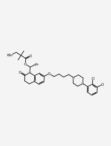 CC(C)C(OC(=O)C(C)(C)CC(C)(C)C)N1C(=O)CCc2ccc(OCCCCN3CCN(c4cccc(Cl)c4Cl)CC3)cc21